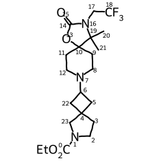 CCOC(=O)N1CCC2(CC(N3CCC4(CC3)OC(=O)N(CC(F)(F)F)C4(C)C)C2)C1